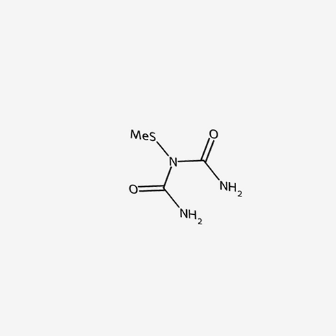 CSN(C(N)=O)C(N)=O